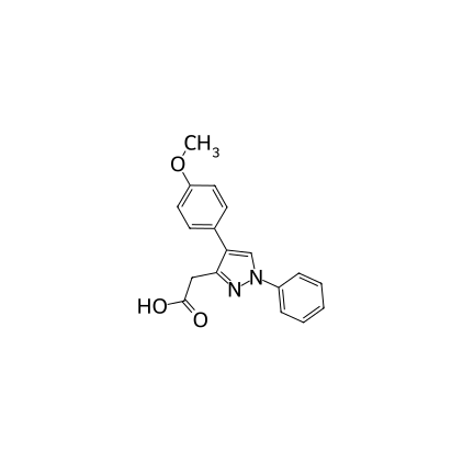 COc1ccc(-c2cn(-c3ccccc3)nc2CC(=O)O)cc1